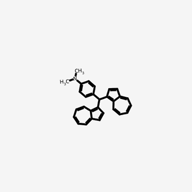 CN(C)c1ccc([C](c2ccc3cccccc2-3)c2ccc3cccccc2-3)cc1